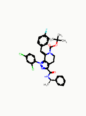 C[C@@H](NC(=O)c1nn(-c2ccc(Cl)cc2Cl)c2c1CCN(C(=O)OC(C)(C)C)C2=Cc1ccc(F)cc1)c1ccccc1